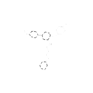 CCCCC1CCC(Oc2ccc(-c3ccc(OC(F)(F)F)cc3)cc2NCCCCc2ccccc2)CC1